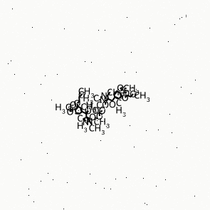 CCn1nc(C)c(C(=O)c2ccc(S(C)(=O)=O)c(OCCOC)c2C)c1OC(C)OC(=O)OC(C)Oc1c(C(=O)c2ccc(S(C)(=O)=O)c(OCCOC)c2C)c(C)nn1CC